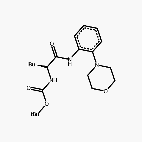 CC[C@H](C)C(NC(=O)OC(C)(C)C)C(=O)Nc1ccccc1N1CCOCC1